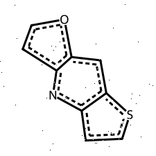 c1cc2nc3ccsc3cc2o1